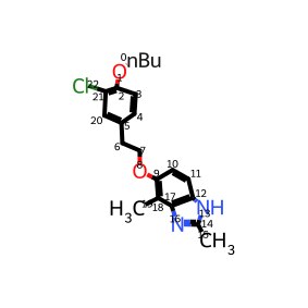 CCCCOc1ccc(CCOc2ccc3[nH]c(C)nc3c2C)cc1Cl